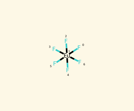 [F][Eu]([F])([F])([F])([F])[F]